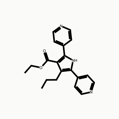 CCCc1c(-c2ccncc2)[nH]c(-c2ccncc2)c1C(=O)OCC